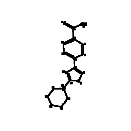 O=C(O)c1ccc(-c2csc(N3CCCCC3)n2)cc1